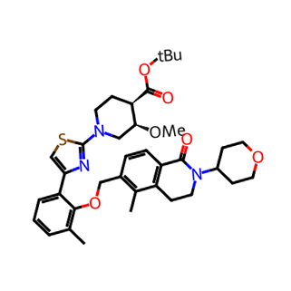 CO[C@H]1CN(c2nc(-c3cccc(C)c3OCc3ccc4c(c3C)CCN(C3CCOCC3)C4=O)cs2)CC[C@H]1C(=O)OC(C)(C)C